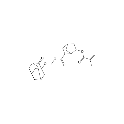 C=C(C)C(=O)OC1CC2CC(C(=O)OCOC34CC5CC(CC(C5)C3=O)C4)C1C2